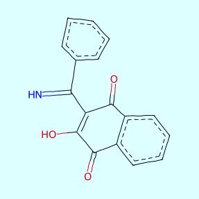 N=C(C1=C(O)C(=O)c2ccccc2C1=O)c1ccccc1